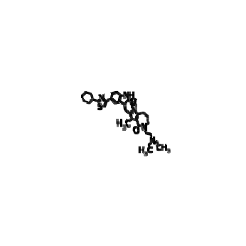 CCN(CC)CCN1CCCc2[nH]c(/C=C3\C(=O)Nc4ccc(-c5csc(C6CCCCC6)n5)cc43)c(C)c2C1=O